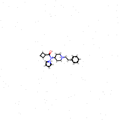 O=C(C1CCC1)N(C1CCN(CCc2ccccc2)CC1)n1cccc1